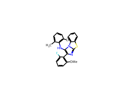 COc1cccc(F)c1-c1nc2sc3ccccc3n2c1Nc1c(C)cccc1C